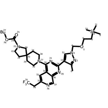 Cc1nn(COCC[Si](C)(C)C)cc1-c1nc(N2CCC3(CCN(C(=O)OC(C)(C)C)C3)CC2)c2cc(CC(F)(F)F)ncc2n1